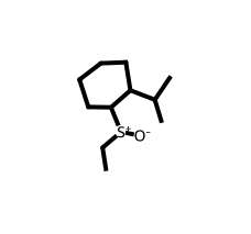 CC[S+]([O-])C1CCCCC1C(C)C